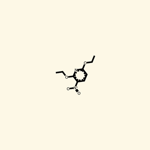 CCOc1ccc([N+](=O)[O-])c(OCC)n1